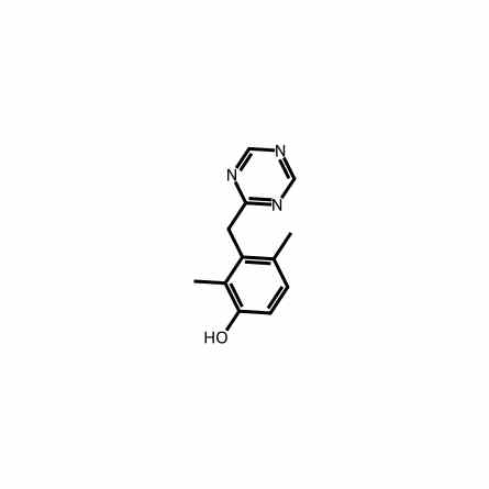 Cc1ccc(O)c(C)c1Cc1ncncn1